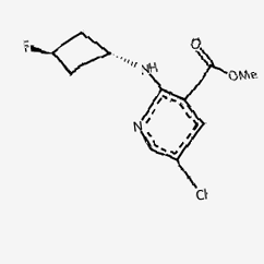 COC(=O)c1cc(Cl)cnc1N[C@H]1C[C@H](F)C1